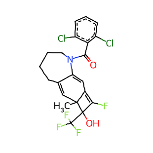 CC12C=C3CCCCN(C(=O)c4c(Cl)cccc4Cl)C3=CC1=C(F)C2(O)C(F)(F)F